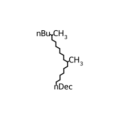 CCCCCCCCCCCCCCCCC(C)CCCCCCCC(C)CCCC